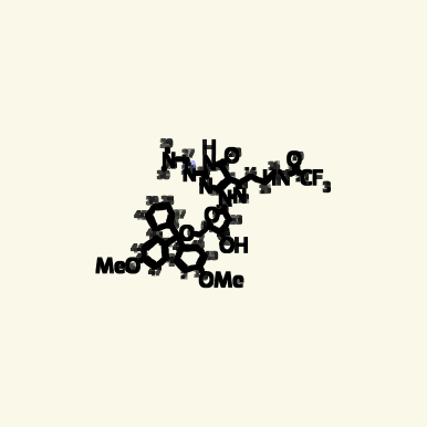 COc1ccc(C(OC[C@H]2O[C@@H](n3nc(CCCNC(=O)C(F)(F)F)c4c(=O)[nH]c(/N=C/N(C)C)nc43)C[C@H]2O)(c2ccccc2)c2ccc(OC)cc2)cc1